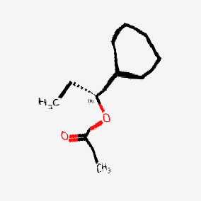 CC[C@@H](OC(C)=O)C1CCCCC1